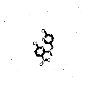 CN(Cc1ccc(Cl)nc1)c1nc(Cl)ccc1[N+](=O)[O-]